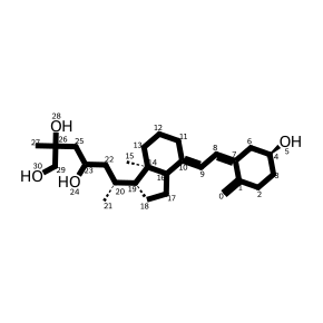 C=C1CC[C@H](O)C/C1=C/C=C1\CCC[C@@]2(C)C1CC[C@@H]2[C@H](C)CC(O)CC(C)(O)CO